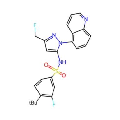 CC(C)(C)c1ccc(S(=O)(=O)Nc2cc(CF)nn2-c2cccc3ncccc23)cc1F